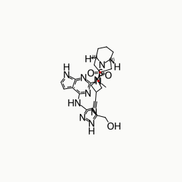 CN(c1nc(Nc2cc(CO)[nH]n2)c2cc[nH]c2n1)[C@@H]1C[C@H]2CCC[C@@H](C1)N2S(=O)(=O)N1CC(C#N)C1